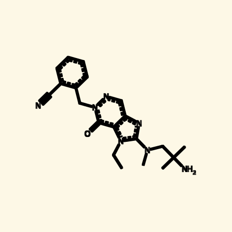 CCn1c(N(C)CC(C)(C)N)nc2cnn(Cc3ccccc3C#N)c(=O)c21